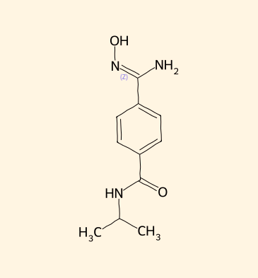 CC(C)NC(=O)c1ccc(/C(N)=N/O)cc1